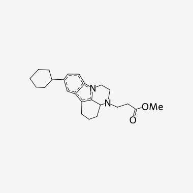 COC(=O)CCN1CCn2c3c(c4cc(C5CCCCC5)ccc42)CCCC31